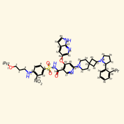 CC(C)OCCCNc1ccc(S(=O)(=O)NC(=O)c2cnc(N3CCC4(CC3)CC(N3CCCC3c3ccccc3C(C)C)C4)cc2Oc2cnc3[nH]ccc3c2)cc1[N+](=O)[O-]